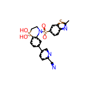 Cc1nc2ccc(S(=O)(=O)N3CCS(O)(O)c4ccc(-c5ccc(C#N)nc5)cc43)cc2s1